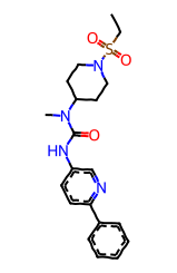 CCS(=O)(=O)N1CCC(N(C)C(=O)Nc2ccc(-c3ccccc3)nc2)CC1